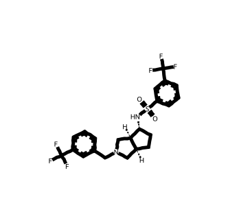 O=S(=O)(N[C@@H]1CC[C@H]2CN(Cc3cccc(C(F)(F)F)c3)C[C@H]21)c1cccc(C(F)(F)F)c1